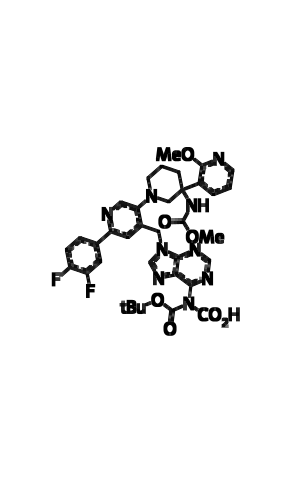 COC(=O)NC1(c2cccnc2OC)CCCN(c2cnc(-c3ccc(F)c(F)c3)cc2Cn2cnc3c(N(C(=O)O)C(=O)OC(C)(C)C)ncnc32)C1